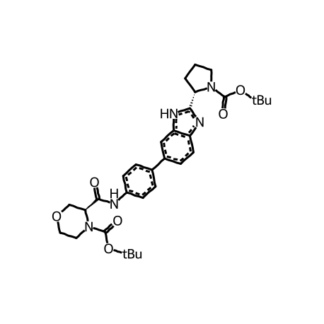 CC(C)(C)OC(=O)N1CCOC[C@H]1C(=O)Nc1ccc(-c2ccc3nc([C@@H]4CCCN4C(=O)OC(C)(C)C)[nH]c3c2)cc1